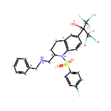 O=S(=O)(c1ccc(F)cc1)N1c2ccc(C(O)(C(F)(F)F)C(F)(F)F)cc2CCC1CNCc1ccccc1